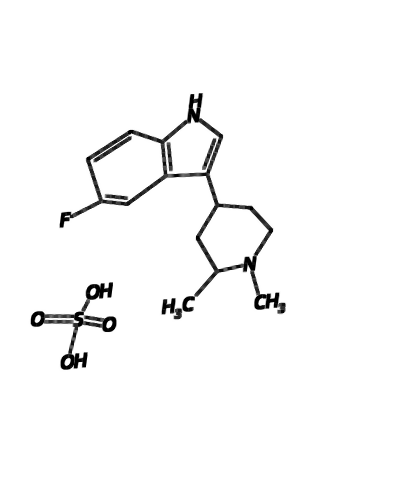 CC1CC(c2c[nH]c3ccc(F)cc23)CCN1C.O=S(=O)(O)O